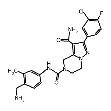 Cc1cc(NC(=O)N2CCn3nc(-c4ccc(F)c(Cl)c4)c(C(N)=O)c3C2)ccc1CN